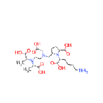 CC(C(=O)O)N(CCN(CC(=O)O)CC1CCC(C(=O)O)N1C(CCCCN)C(=O)O)C(C)C(=O)O